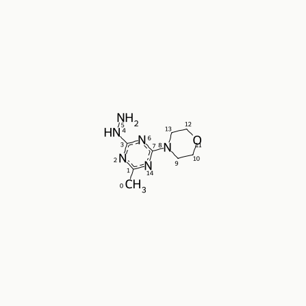 Cc1nc(NN)nc(N2CCOCC2)n1